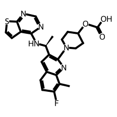 Cc1c(F)ccc2cc([C@H](C)Nc3ncnc4sccc34)c(N3CCC(OC(=O)O)CC3)nc12